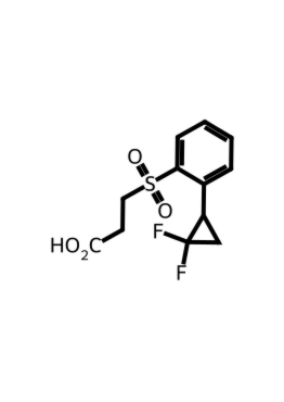 O=C(O)CCS(=O)(=O)c1ccccc1C1CC1(F)F